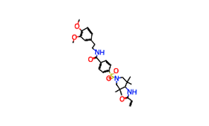 C=CC(=O)NC1C(C)(C)CN(S(=O)(=O)c2ccc(C(=O)NCCc3ccc(OC)c(OC)c3)cc2)CC1(C)C